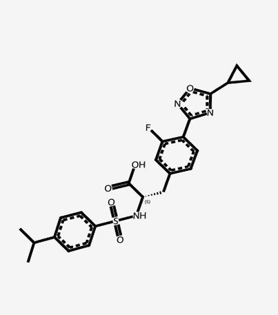 CC(C)c1ccc(S(=O)(=O)N[C@@H](Cc2ccc(-c3noc(C4CC4)n3)c(F)c2)C(=O)O)cc1